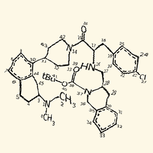 CN(C)C1CCc2cccc(C3CCN(C(=O)[C@@H](Cc4ccc(Cl)cc4)NC[C@H]4Cc5ccccc5CN4C(=O)OC(C)(C)C)CC3)c2C1